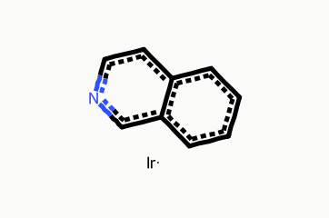 [Ir].c1ccc2cnccc2c1